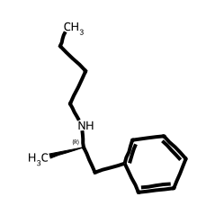 CCCCN[C@H](C)Cc1ccccc1